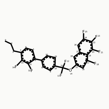 CCCc1ccc(-c2ccc(C(F)(F)Oc3cc(F)c4c(F)c(F)c(F)cc4c3)cc2)c(F)c1F